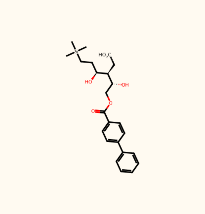 C[Si](C)(C)CC[C@H](O)[C@@H](CC(=O)O)[C@H](O)COC(=O)c1ccc(-c2ccccc2)cc1